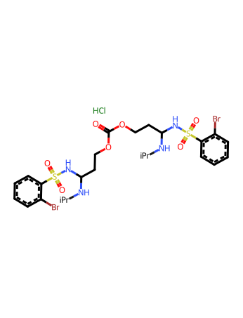 CC(C)NC(CCOC(=O)OCCC(NC(C)C)NS(=O)(=O)c1ccccc1Br)NS(=O)(=O)c1ccccc1Br.Cl